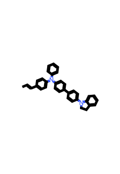 C/C=C/c1ccc(N(c2ccccc2)c2ccc(-c3ccc(N4CCc5ccccc54)cc3)cc2)cc1